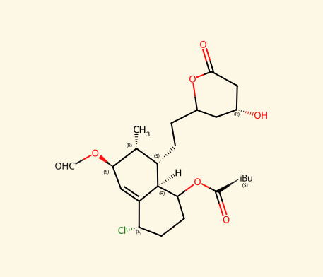 CC[C@H](C)C(=O)OC1CC[C@H](Cl)C2=C[C@@H](OC=O)[C@H](C)[C@H](CCC3C[C@@H](O)CC(=O)O3)[C@H]21